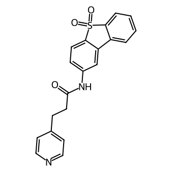 O=C(CCc1ccncc1)Nc1ccc2c(c1)-c1ccccc1S2(=O)=O